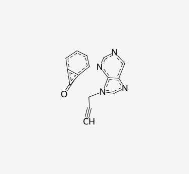 C#CCn1cnc2cncnc21.O=c1c2ccccc12